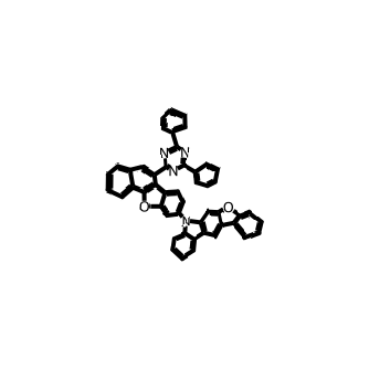 c1ccc(-c2nc(-c3ccccc3)nc(-c3cc4ccccc4c4oc5cc(-n6c7ccccc7c7cc8c(cc76)oc6ccccc68)ccc5c34)n2)cc1